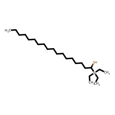 CCCCCCCCCCCCCCCCCC(S)[Si](CC)(CC)CC